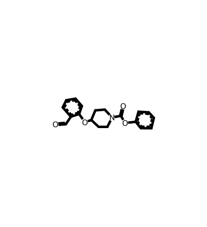 O=Cc1ccccc1OC1CCN(C(=O)Oc2ccccc2)CC1